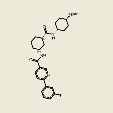 CN[C@H]1CC[C@H](NC(=O)[C@H]2CCC[C@@H](NC(=O)c3ccc(-c4cccc(F)c4)nc3)C2)CC1